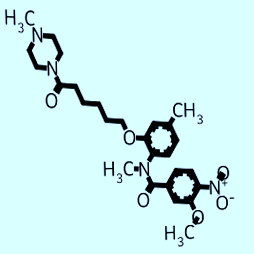 COc1cc(C(=O)N(C)c2ccc(C)cc2OCCCCCC(=O)N2CCN(C)CC2)ccc1[N+](=O)[O-]